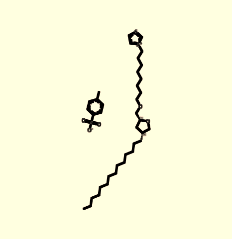 CCCCCCCCCCCCCC[C@H]1CO[C@H](COCCCCCCCC[n+]2ccsc2)C1.Cc1ccc(S(=O)(=O)[O-])cc1